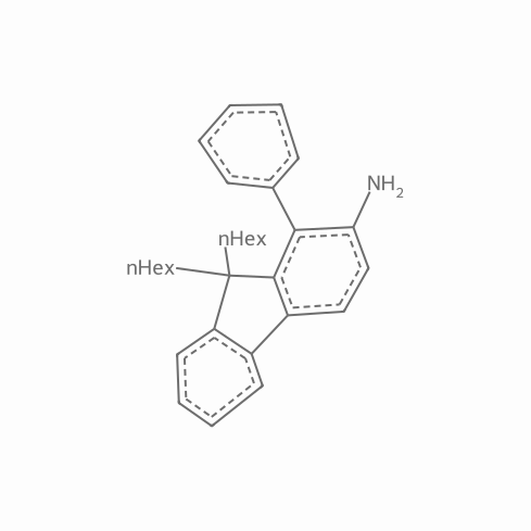 CCCCCCC1(CCCCCC)c2ccccc2-c2ccc(N)c(-c3ccccc3)c21